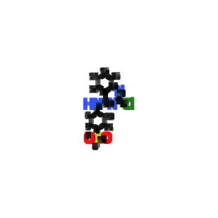 CS(=O)(=O)c1ccc(Nc2nc(Cl)nc3ccccc23)cc1